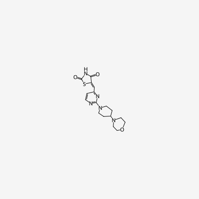 O=C1NC(=O)/C(=C/c2ccnc(N3CCC(N4CCOCC4)CC3)n2)S1